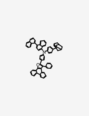 c1ccc(-c2c(-c3ccc(N(c4ccc(C56CC7CC(CC(C7)C5)C6)cc4)c4ccc(-c5cccc6ccccc56)c5ccccc45)cc3)oc3c4ccccc4c4ccccc4c23)cc1